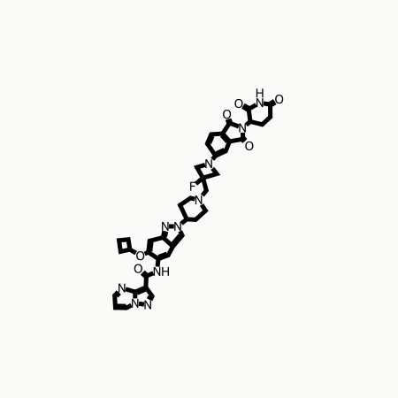 O=C1CCC(N2C(=O)c3ccc(N4CC(F)(CN5CCC(n6cc7cc(NC(=O)c8cnn9cccnc89)c(OC8CCC8)cc7n6)CC5)C4)cc3C2=O)C(=O)N1